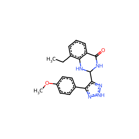 CCc1cccc2c1NC(c1n[nH]nc1-c1ccc(OC)cc1)NC2=O